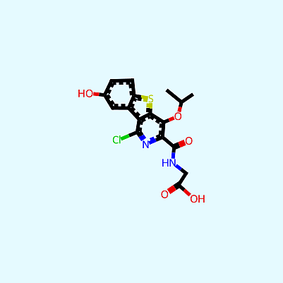 CC(C)Oc1c(C(=O)NCC(=O)O)nc(Cl)c2c1sc1ccc(O)cc12